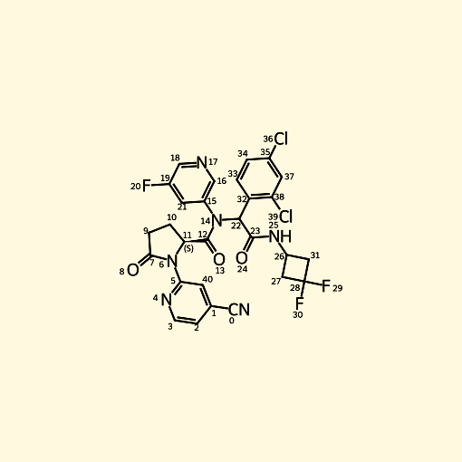 N#Cc1ccnc(N2C(=O)CC[C@H]2C(=O)N(c2cncc(F)c2)C(C(=O)NC2CC(F)(F)C2)c2ccc(Cl)cc2Cl)c1